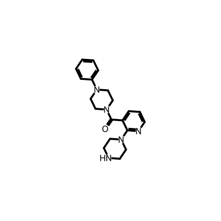 O=C(c1cccnc1N1CCNCC1)N1CCN(c2ccccc2)CC1